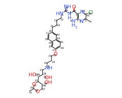 Cc1nc(N)c(C(=O)NC(=N)NCCCCc2ccc3cc(OCCCNC[C@H](O)[C@@H](O)[C@@H]4OC(C)OC[C@H]4O)ccc3c2)nc1Cl